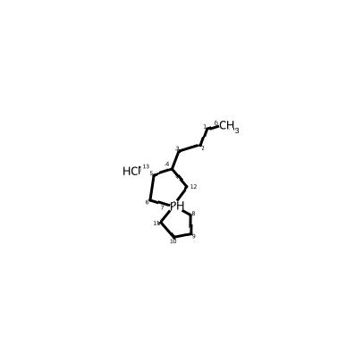 CCCCC1CC[PH]2(CCCC2)C1.Cl